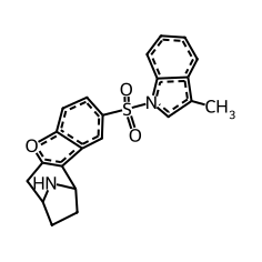 Cc1cn(S(=O)(=O)c2ccc3oc4c(c3c2)C2CCC(C4)N2)c2ccccc12